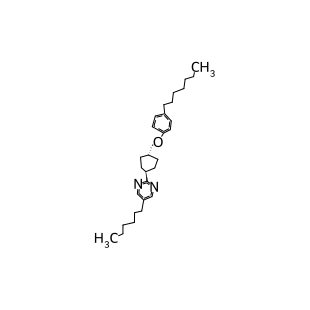 CCCCCCCc1ccc(OC[C@H]2CC[C@H](c3ncc(CCCCCC)cn3)CC2)cc1